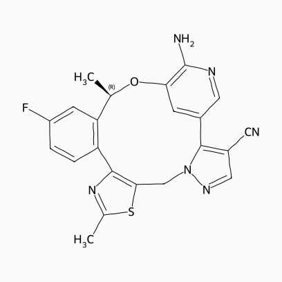 Cc1nc2c(s1)Cn1ncc(C#N)c1-c1cnc(N)c(c1)O[C@H](C)c1cc(F)ccc1-2